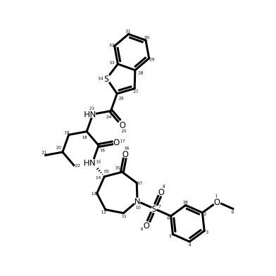 COc1cccc(S(=O)(=O)N2CCC[C@H](NC(=O)C(CC(C)C)NC(=O)c3cc4ccccc4s3)C(=O)C2)c1